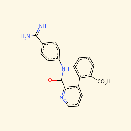 N=C(N)c1ccc(NC(=O)c2ncccc2-c2ccccc2C(=O)O)cc1